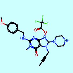 CC#CCN1c2c(nc(NCc3ccc(OC)cc3)n(C)c2=O)N(OC(=O)C(F)(F)F)C1N1CCNCC1